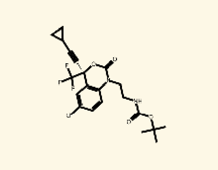 CC(C)(C)OC(=O)NCCN1C(=O)O[C@](C#CC2CC2)(C(F)(F)F)c2cc(Cl)ccc21